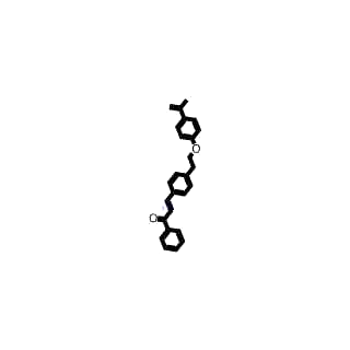 C=C(C)c1ccc(OCCc2ccc(/C=C/C(=O)c3ccccc3)cc2)cc1